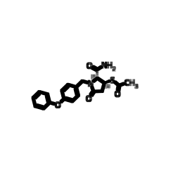 CC(=O)S[C@H]1CC(=O)N(Cc2ccc(Oc3ccccc3)cc2)[C@@H]1C(N)=O